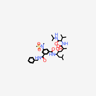 CC(C)CC(NC(=O)c1cc(C(=O)NCc2ccccc2)cc(N(C)S(C)(=O)=O)c1)C(O)CC(C)C(=O)NC(C(=O)NC(C)C)C(C)C